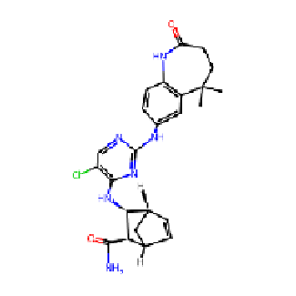 CC1(C)CCC(=O)Nc2ccc(Nc3ncc(Cl)c(N[C@@H]4[C@H](C(N)=O)[C@H]5C=C[C@@H]4C5)n3)cc21